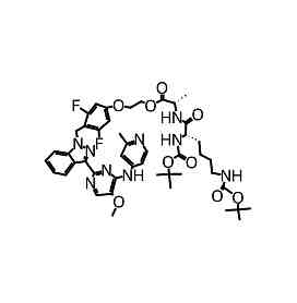 COc1cnc(-c2nn(Cc3c(F)cc(OCCOC(=O)[C@H](C)NC(=O)[C@H](CCCCNC(=O)OC(C)(C)C)NC(=O)OC(C)(C)C)cc3F)c3ccccc23)nc1Nc1ccnc(C)c1